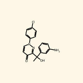 CC(O)(c1cccc(N)c1)c1nn(-c2ccc(Cl)cc2)ccc1=O